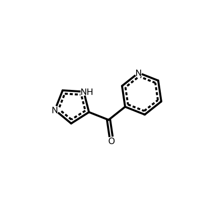 O=C(c1cccnc1)c1cnc[nH]1